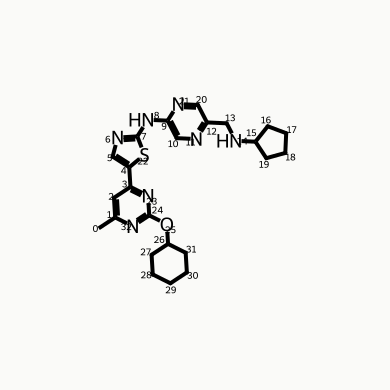 Cc1cc(-c2cnc(Nc3cnc(CNC4CCCC4)cn3)s2)nc(OC2CCCCC2)n1